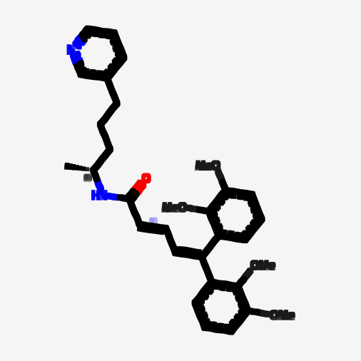 COc1cccc(C(=C/C=C/C(=O)N[C@H](C)CCCc2cccnc2)c2cccc(OC)c2OC)c1OC